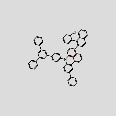 CC1CC=CC=C1c1c(-c2ccc(N(c3ccc(-c4cc(-c5ccccc5)cc(-c5ccccc5)c4)cc3)c3ccc(-c4ccccc4)cc3-c3ccccc3)cc2)ccc2ccccc12